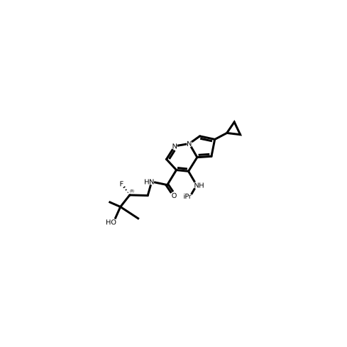 CC(C)Nc1c(C(=O)NC[C@@H](F)C(C)(C)O)cnn2cc(C3CC3)cc12